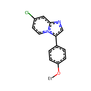 CCOc1ccc(-c2cnc3cc(Cl)ccn23)cc1